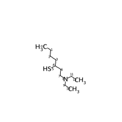 CCCCC(S)CCN(CC)CC